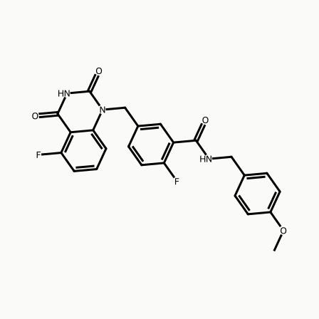 COc1ccc(CNC(=O)c2cc(Cn3c(=O)[nH]c(=O)c4c(F)cccc43)ccc2F)cc1